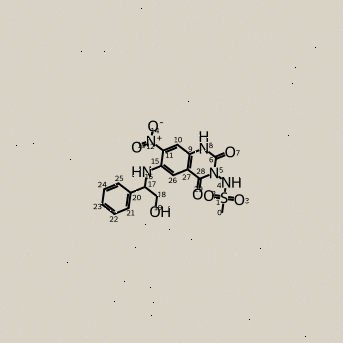 CS(=O)(=O)Nn1c(=O)[nH]c2cc([N+](=O)[O-])c(NC(CO)c3ccccc3)cc2c1=O